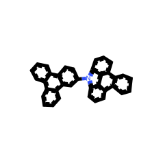 c1ccc2c(c1)c1ccccc1c1cc(-n3c4cccc5c6ccccc6c6cccc3c6c54)ccc21